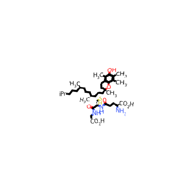 Cc1c(C)c2c(c(C)c1O)CC[C@@](C)(CCC[C@H](C)CCC[C@H](C)CCCC(C)C)O2.N[C@@H](CCC(=O)N[C@@H](CS)C(=O)NCC(=O)O)C(=O)O